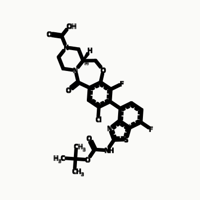 CC(C)(C)OC(=O)Nc1nc2c(-c3c(Cl)cc4c(c3F)OC[C@H]3CN(C(=O)O)CCN3C4=O)ccc(F)c2s1